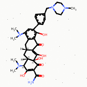 CN1CCN(Cc2ccc(-c3cc(N(C)C)c4c(c3O)C(=O)C3=C(O)[C@]5(O)C(=O)C(C(N)=O)=C(O)[C@@H](N(C)C)[C@@H]5C[C@@H]3C4)cc2)CC1